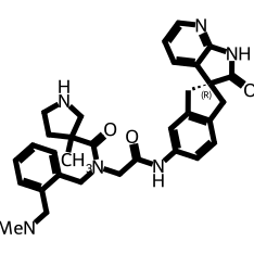 CNCc1ccccc1CN(CC(=O)Nc1ccc2c(c1)C[C@@]1(C2)C(=O)Nc2ncccc21)C(=O)C1(C)CCNC1